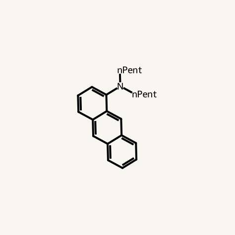 CCCCCN(CCCCC)c1cccc2cc3ccccc3cc12